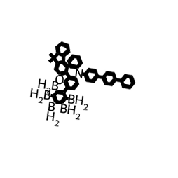 Bc1c(B)c(B)c(-c2ccc(N(c3ccccc3)c3ccc(-c4ccc(-c5ccccc5)cc4)cc3)c3c2oc2cc4c(cc23)-c2ccccc2C4(C)C)c(B)c1B